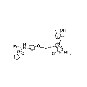 CC1=C(Cn2cc(C#CCCCOc3ccc(CN[C@@H](CC(C)C)C(=O)OC4CCCC4)cc3)c3c(Cl)nc(N)nc32)N=CC(C)C1O